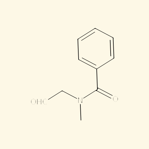 CN(CC=O)C(=O)c1ccccc1